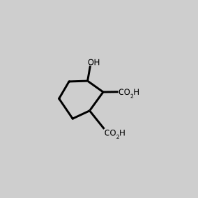 O=C(O)C1CCCC(O)C1C(=O)O